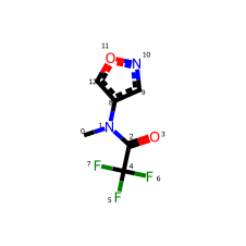 CN(C(=O)C(F)(F)F)c1cnoc1